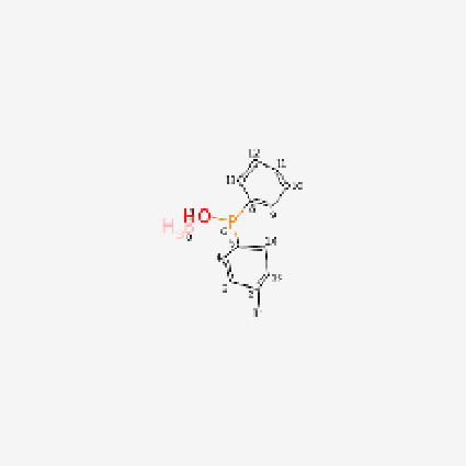 B.Cc1ccc(P(O)c2ccccc2)cc1